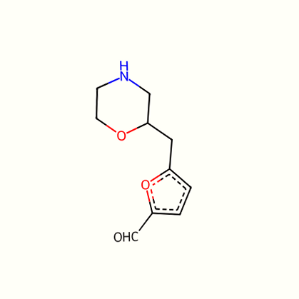 O=Cc1ccc(CC2CNCCO2)o1